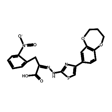 O=C(O)C(Cc1ccccc1[N+](=O)[O-])=NNc1nc(-c2ccc3c(c2)OCCCO3)cs1